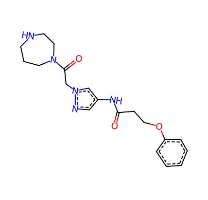 O=C(CCOc1ccccc1)Nc1cnn(CC(=O)N2CCCNCC2)c1